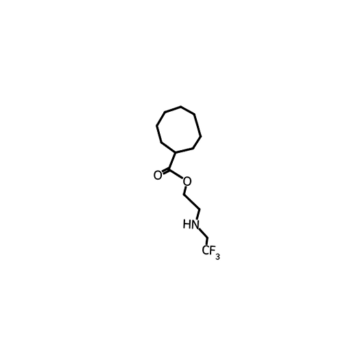 O=C(OCCNCC(F)(F)F)C1CCCCCCC1